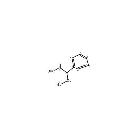 CCCCOC(NC=O)c1cc[c]cc1